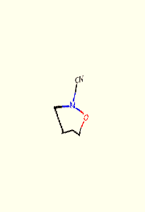 N#CN1CCCO1